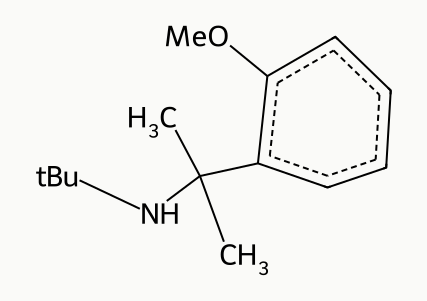 COc1ccccc1C(C)(C)NC(C)(C)C